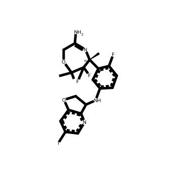 CC1(C)OCC(N)=N[C@](C)(c2cc(NC3COc4cc(I)cnc43)ccc2F)C1(F)F